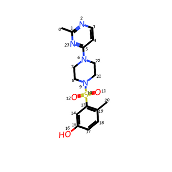 Cc1nccc(N2CCN(S(=O)(=O)c3cc(O)ccc3C)CC2)n1